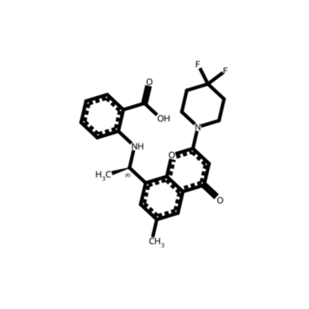 Cc1cc([C@@H](C)Nc2ccccc2C(=O)O)c2oc(N3CCC(F)(F)CC3)cc(=O)c2c1